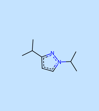 CC(C)c1ccn(C(C)C)n1